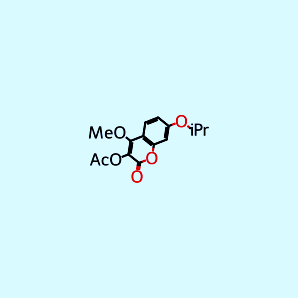 COc1c(OC(C)=O)c(=O)oc2cc(OC(C)C)ccc12